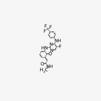 CNC(=O)C=C1C=CC=C(Nc2ncc(F)c(Nc3ccc(C(F)(F)F)cc3)n2)C1=O